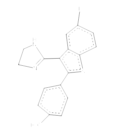 Cc1ccc(-c2sc3ccc(F)cc3c2C2=NCCN2)cc1